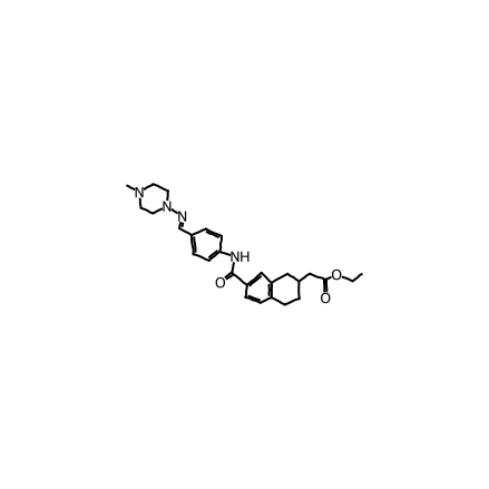 CCOC(=O)CC1CCc2ccc(C(=O)Nc3ccc(/C=N/N4CCN(C)CC4)cc3)cc2C1